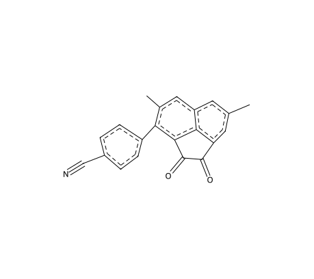 Cc1cc2c3c(c(-c4ccc(C#N)cc4)c(C)cc3c1)C(=O)C2=O